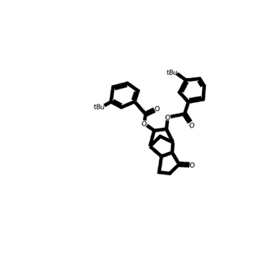 CC(C)(C)c1cccc(C(=O)OC2C3CC(C2OC(=O)c2cccc(C(C)(C)C)c2)C2C(=O)CCC32)c1